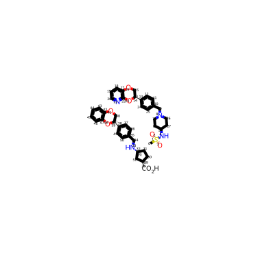 CS(=O)(=O)NC1CCN(Cc2ccc([C@H]3COc4cccnc4O3)cc2)CC1.O=C(O)[C@H]1CC[C@@H](NCc2ccc([C@H]3COc4ccccc4O3)cc2)C1